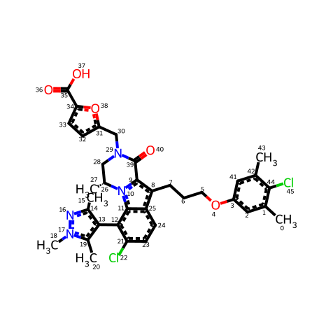 Cc1cc(OCCCc2c3n(c4c(-c5c(C)nn(C)c5C)c(Cl)ccc24)[C@H](C)CN(Cc2ccc(C(=O)O)o2)C3=O)cc(C)c1Cl